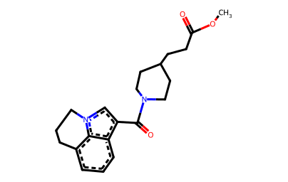 COC(=O)CCC1CCN(C(=O)c2cn3c4c(cccc24)CCC3)CC1